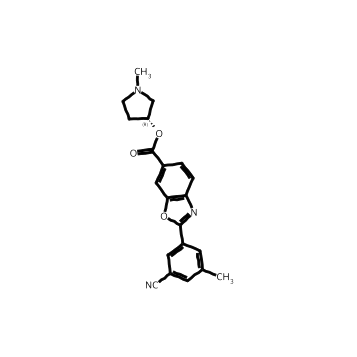 Cc1cc(C#N)cc(-c2nc3ccc(C(=O)O[C@@H]4CCN(C)C4)cc3o2)c1